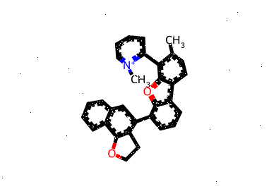 Cc1ccc2c(oc3c(-c4cc5ccccc5c5c4CCO5)cccc32)c1-c1cccc[n+]1C